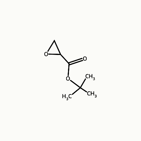 CC(C)(C)OC(=O)C1CO1